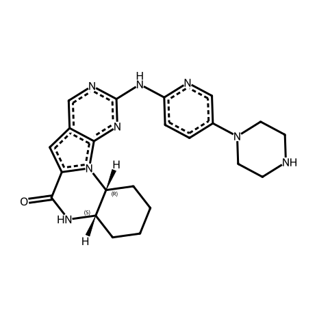 O=C1N[C@H]2CCCC[C@H]2n2c1cc1cnc(Nc3ccc(N4CCNCC4)cn3)nc12